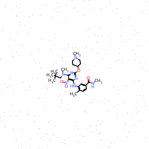 CNC(=O)c1ccc(C)c(Nc2nc(OC3CCN(C)CC3)nc(N(C)CC(C)(C)C)c2[N+](=O)[O-])c1